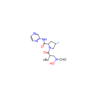 CCCCC(CN(O)C=O)C(=O)N1CC(F)CC1C(=O)Nc1cnccn1